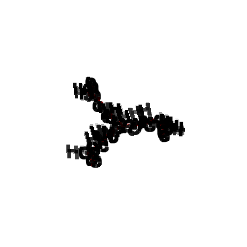 CC(=O)OCC1CC(O)[C@H](C)[C@H](OCCCCC(=O)NCCCNC(=O)CCOCC(C)(COCCC(=O)NCCCNC(=O)CCCCO[C@@H]2OC(COC(C)=O)[C@H](O)C(O)[C@@H]2C)COCCC(=O)NCCCNC(=O)CCCCO[C@@H]2OC(COC(C)=O)[C@H](O)C(O)[C@@H]2N)O1